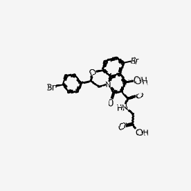 O=C(O)CNC(=O)c1c(O)c2c(Br)ccc3c2n(c1=O)CC(c1ccc(Br)cc1)O3